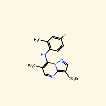 CCOC(=O)c1cnn2c(Nc3ccc(F)cc3C)c(C(=O)O)cnc12